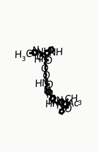 CC(=O)c1c(C)c2cnc(Nc3ccc(N4CCN(CC(=O)NCCOCCOCCC(=O)Nc5cc6c(cc5C(=O)Nc5ccc(C)cn5)CCCN6)CC4)cn3)nc2n(C2CCCC2)c1=O